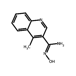 Cc1c(C(N)=NO)cnc2ccccc12